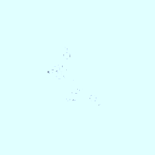 CCOP(OCC)(OCC)=C(C(=O)OCc1ccc([N+](=O)[O-])cc1)N1C(=O)CC1CC(=O)SC1CN=C(COC)N(C(=O)OCc2ccc([N+](=O)[O-])cc2)C1